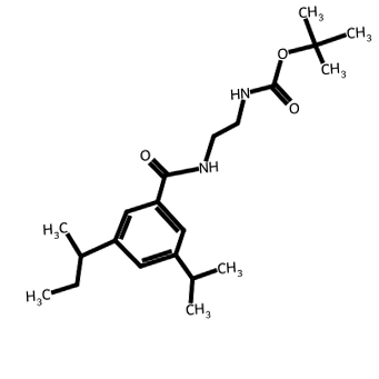 CCC(C)c1cc(C(=O)NCCNC(=O)OC(C)(C)C)cc(C(C)C)c1